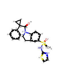 C=S(=O)(Nc1nccs1)c1ccc2c(c1)CCN2C(=O)C1(c2ccccc2)CC1